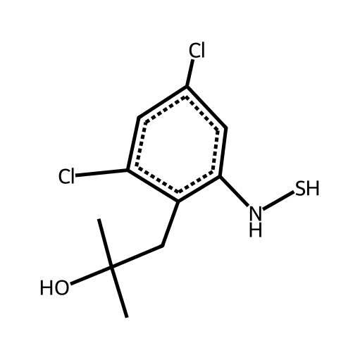 CC(C)(O)Cc1c(Cl)cc(Cl)cc1NS